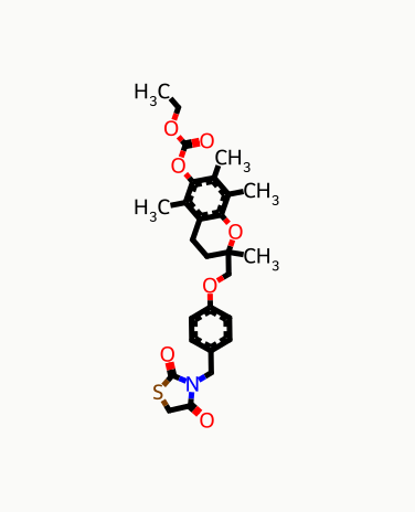 CCOC(=O)Oc1c(C)c(C)c2c(c1C)CCC(C)(COc1ccc(CN3C(=O)CSC3=O)cc1)O2